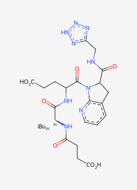 CC[C@H](C)[C@H](NC(=O)CCC(=O)O)C(=O)NC(CCC(=O)O)C(=O)N1c2ncccc2CC1C(=O)NCc1nn[nH]n1